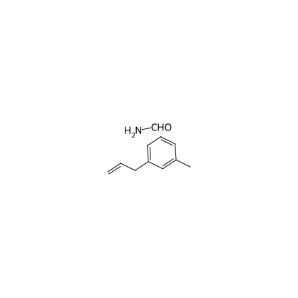 C=CCc1cccc(C)c1.NC=O